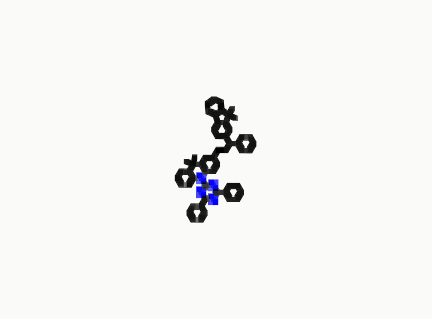 CC1(C)c2ccccc2-c2ccc(C(/C=C/c3ccc4c(c3)C(C)(C)c3ccccc3N4c3nc(-c4ccccc4)nc(-c4ccccc4)n3)c3ccccc3)cc21